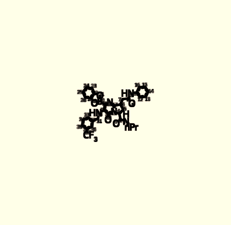 CCCNC(=O)C1CC(CC(=O)Nc2ccccc2)c2nc(B3Oc4ccccc4O3)c(NCc3cccc(C(F)(F)F)c3)c(=O)n21